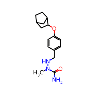 CN(NCc1ccc(OC2CC3CCC2C3)cc1)C(N)=O